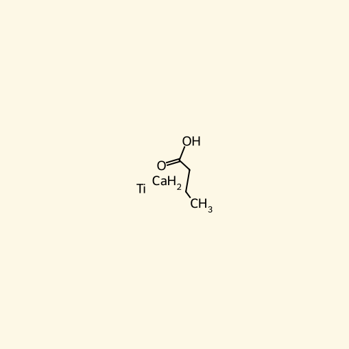 CCCC(=O)O.[CaH2].[Ti]